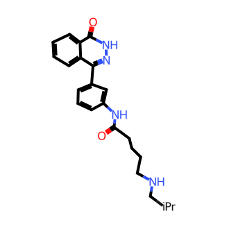 CC(C)CNCCCCC(=O)Nc1cccc(-c2n[nH]c(=O)c3ccccc23)c1